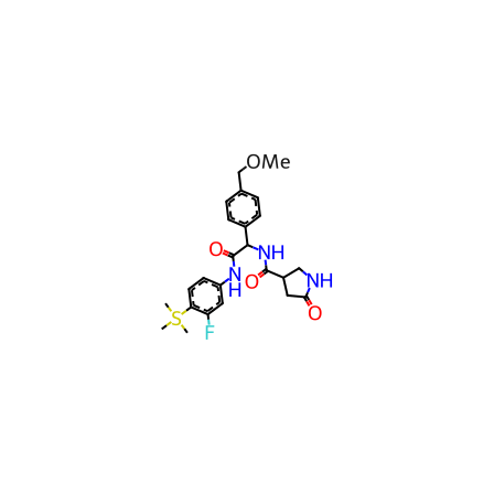 COCc1ccc(C(NC(=O)C2CNC(=O)C2)C(=O)Nc2ccc(S(C)(C)C)c(F)c2)cc1